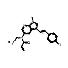 C=CC(=O)N(CC(=O)O)c1cnc2c(c1)c(/C=C/c1ccc(Cl)cc1)cn2C